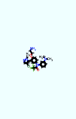 CN(C)c1cccc(N(C(=O)C(F)(F)F)c2ccc(OCCN)c(-c3c(Cl)cnn3C)c2)c1